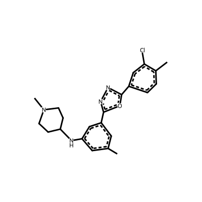 Cc1cc(NC2CCN(C)CC2)cc(-c2nnc(-c3ccc(C)c(Cl)c3)o2)c1